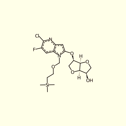 C[Si](C)(C)CCOCn1c(O[C@@H]2CO[C@H]3[C@@H]2OC[C@H]3O)cc2nc(Cl)c(F)cc21